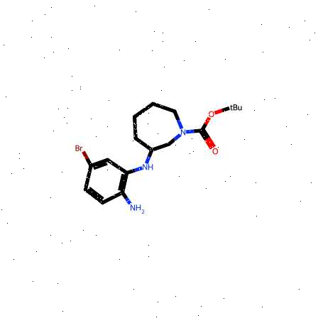 CC(C)(C)OC(=O)N1CCCCC(Nc2cc(Br)ccc2N)C1